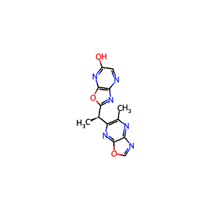 Cc1nc2ncoc2nc1[C@@H](C)c1nc2ncc(O)nc2o1